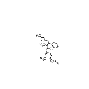 C=C/C=C\C(=C/CC)CC(=O)N(C)C(CN1CC[C@H](O)C1)c1ccccc1